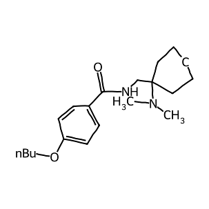 CCCCOc1ccc(C(=O)NCC2(N(C)C)CCCCC2)cc1